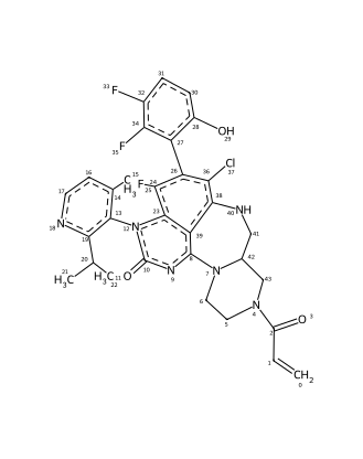 C=CC(=O)N1CCN2c3nc(=O)n(-c4c(C)ccnc4C(C)C)c4c(F)c(-c5c(O)ccc(F)c5F)c(Cl)c(c34)NCC2C1